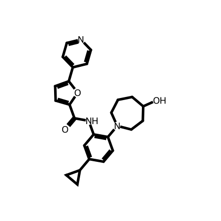 O=C(Nc1cc(C2CC2)ccc1N1CCCC(O)CC1)c1ccc(-c2ccncc2)o1